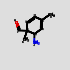 CC1=CC(N)C(C)(C=O)C=C1